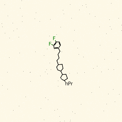 CCCC1CCC(C2CCC(CCCCc3ccc(F)c(F)c3)CC2)CC1